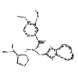 COc1ccc(C(=O)N(Cc2nc3ccccc3s2)C[C@@H]2CCCN2C(C)C)cc1OC